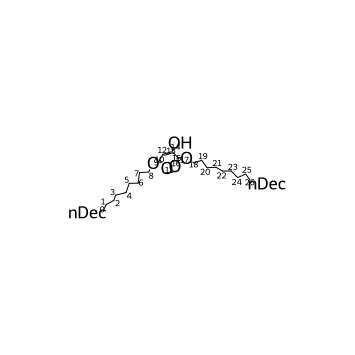 CCCCCCCCCCCCCCCCCCOC(=O)/C=C(/O)C(=O)OCCCCCCCCCCCCCCCCCC